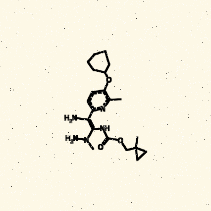 Cc1nc(/C(N)=C(\NC(=O)OCC2(C)CC2)N(C)N)ccc1OC1CCCCC1